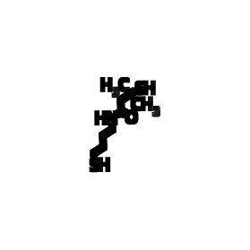 CC(C)(S)CC(=O)NCCCCS